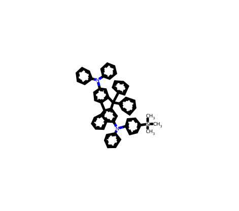 C[Si](C)(C)c1ccc(N(c2ccccc2)c2cc3c(c4ccccc24)-c2ccc(N(c4ccccc4)c4ccccc4)cc2C3(c2ccccc2)c2ccccc2)cc1